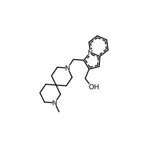 CN1CCCC2(CCN(Cc3c(CO)cc4ccccn34)CC2)C1